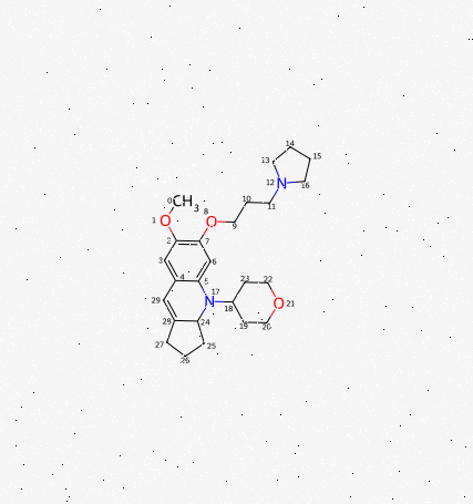 COc1cc2c(cc1OCCCN1CCCC1)N(C1CCOCC1)C1CCCC1=C2